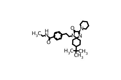 CCNC(=O)c1ccc(CCN2C(=O)C(N3CCCCC3)=NC23CCC(C(C)(C)C)CC3)cc1